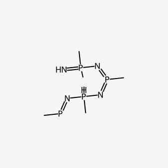 C/P=N/[PH](C)(C)/N=P(/C)=N\P(C)(C)=N